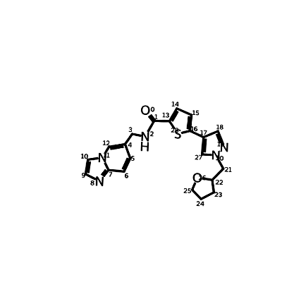 O=C(NCc1ccc2nccn2c1)c1ccc(-c2cnn(CC3CCCO3)c2)s1